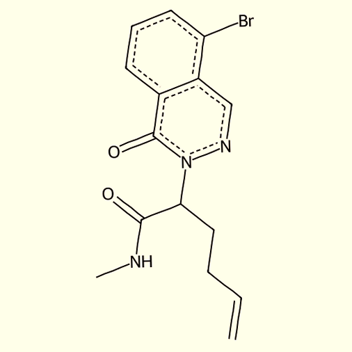 C=CCCC(C(=O)NC)n1ncc2c(Br)cccc2c1=O